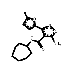 Cc1ccc(-c2noc(N)c2C(=O)NC2CCCCCC2)o1